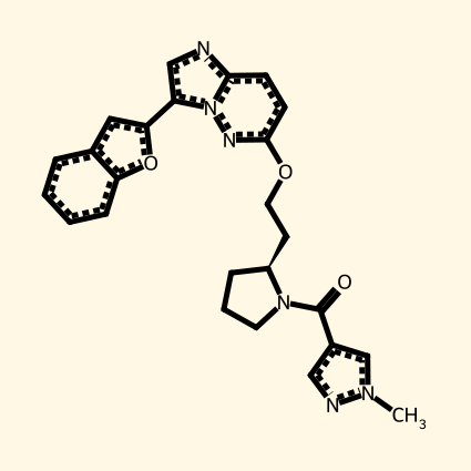 Cn1cc(C(=O)N2CCC[C@H]2CCOc2ccc3ncc(-c4cc5ccccc5o4)n3n2)cn1